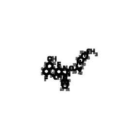 C#Cc1c(F)ccc2cc(O)cc(-c3ccc4c(N5CC6CCC(C5)N6)nc(OCC5(CN6CC7CN(C)CC7C6)CC5)nc4c3F)c12